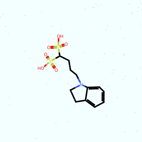 O=S(=O)(O)C(CCCN1CCc2ccccc21)S(=O)(=O)O